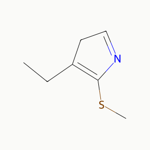 CCC1=C(SC)N=CC1